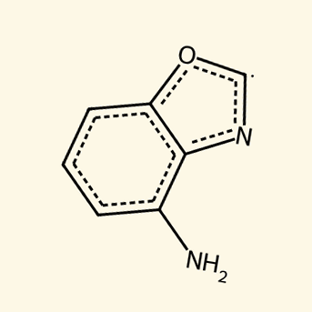 Nc1cccc2o[c]nc12